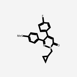 CSc1ccc(-c2nn(CC3CC3)c(=O)cc2-c2ccc(F)cc2)cc1